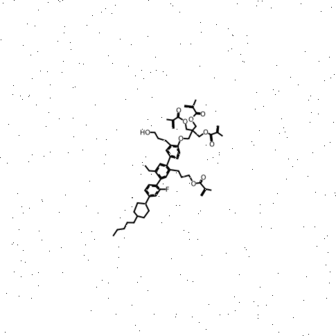 C=C(C)C(=O)OCCCc1cc(-c2ccc(C3CCC(CCCCC)CC3)cc2F)c(CC)cc1-c1ccc(OCC(COC(=O)C(=C)C)(COC(=O)C(=C)C)COC(=O)C(=C)C)c(CCCO)c1